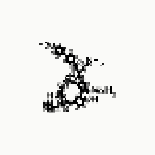 CCCCc1ccc(-c2ccc(C(=O)N[C@@H](CCCN)C(=O)N(C)[C@@H]3C(=O)N[C@@H](C)C(=O)N[C@H](C(=O)NCc4nnn[nH]4)Cc4ccc(O)c(c4)-c4cc3ccc4OCCN)cc2)cc1